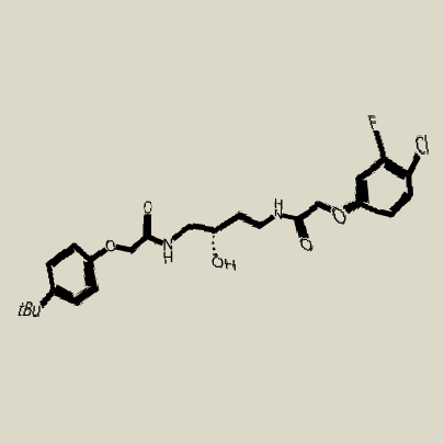 CC(C)(C)c1ccc(OCC(=O)NC[C@@H](O)CCNC(=O)COc2ccc(Cl)c(F)c2)cc1